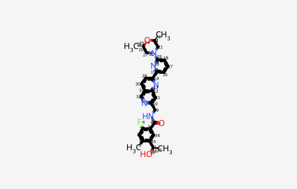 Cc1cc(F)c(C(=O)NCc2cc3nc(-c4cccc(N5C[C@@H](C)O[C@@H](C)C5)n4)ccc3cn2)cc1[C@@H](C)O